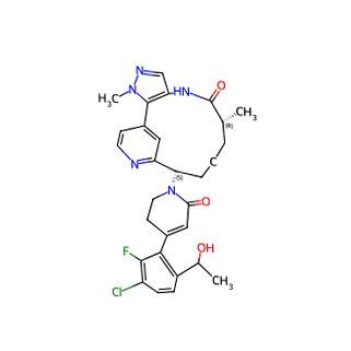 CC(O)c1ccc(Cl)c(F)c1C1=CC(=O)N([C@H]2CCC[C@@H](C)C(=O)Nc3cnn(C)c3-c3ccnc2c3)CC1